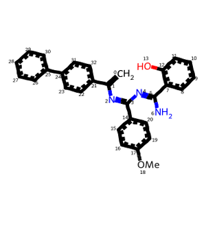 C=C(/N=C(\N=C(/N)c1ccccc1O)c1ccc(OC)cc1)c1ccc(-c2ccccc2)cc1